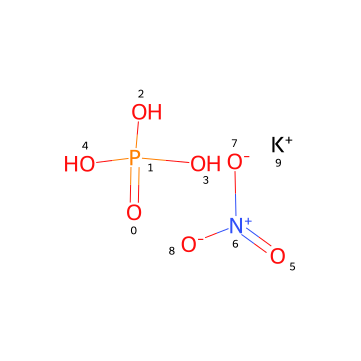 O=P(O)(O)O.O=[N+]([O-])[O-].[K+]